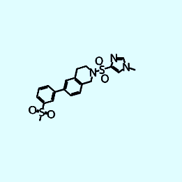 Cn1cnc(S(=O)(=O)N2CCc3cc(-c4cccc(S(C)(=O)=O)c4)ccc3C2)c1